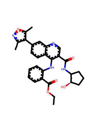 CCOC(=O)c1ccccc1Nc1c(C(=O)NC2CCC[C@H]2O)cnc2cc(-c3c(C)noc3C)ccc12